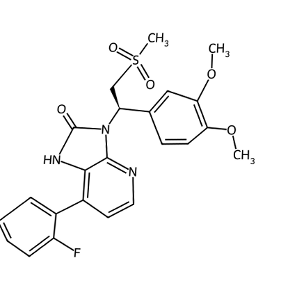 COc1ccc([C@H](CS(C)(=O)=O)n2c(=O)[nH]c3c(-c4ccccc4F)ccnc32)cc1OC